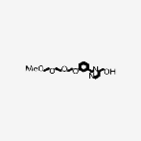 COCCOCCOCCOc1cccc(-c2nccc(CO)n2)c1